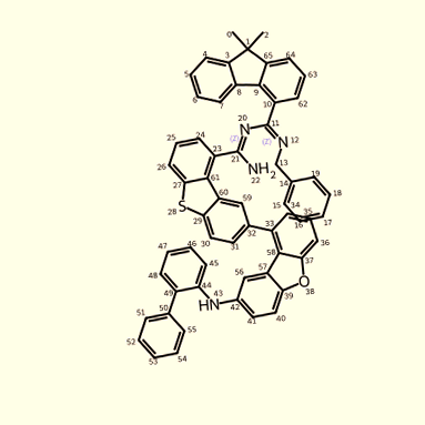 CC1(C)c2ccccc2-c2c(C(=N/Cc3ccccc3)/N=C(\N)c3cccc4sc5ccc(-c6cccc7oc8ccc(Nc9ccccc9-c9ccccc9)cc8c67)cc5c34)cccc21